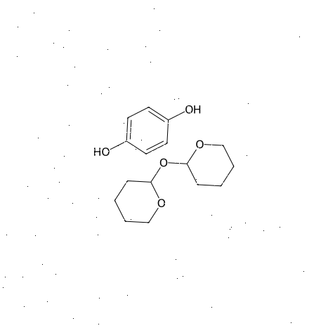 C1CCC(OC2CCCCO2)OC1.Oc1ccc(O)cc1